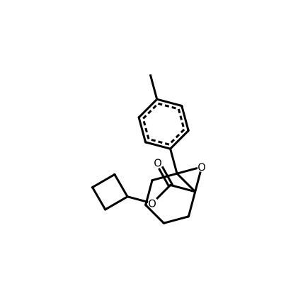 Cc1ccc(C23CCCCC2(C(=O)OC2CCC2)O3)cc1